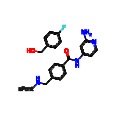 CCCCCNCc1ccc(C(=O)Nc2ccnc(N)c2)cc1.OCc1ccc(F)cc1